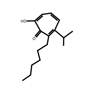 CCCCCCc1c(C(C)C)cccc(O)c1=O